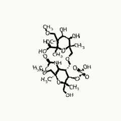 COC[C@@]1(C)[C@@H](O)C(O)[C@](C)(COC[C@H]2C(NC(C)=O)[C@](C)(COC)OC(C)(CO)[C@@H]2OS(=O)(=O)O)OC1(C)C(=O)O